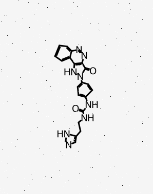 O=C(NCCc1cnc[nH]1)Nc1ccc(-n2[nH]c3c(nnc4ccccc43)c2=O)cc1